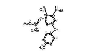 CCNc1cc(Oc2ccc(C)cc2)ccc1[N+](=O)[O-].CO[PH](=O)OC